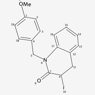 COc1ccc(CN2C(=O)C(I)Cc3ccccc32)cc1